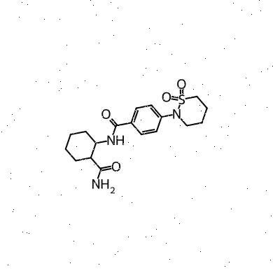 NC(=O)C1CCCCC1NC(=O)c1ccc(N2CCCCS2(=O)=O)cc1